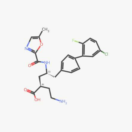 Cc1cnc(C(=O)N[C@H](Cc2ccc(-c3cc(Cl)ccc3F)cc2)C[C@@H](CCN)C(=O)O)o1